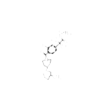 CC1CCCN(C2CCN(C(=O)c3ccc(C(C)(C)C(=O)NC(C)(C)C)cc3F)CC2)C1